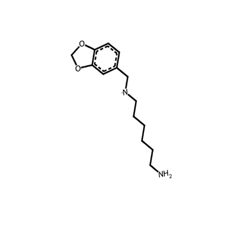 NCCCCCC[N]Cc1ccc2c(c1)OCO2